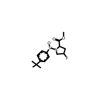 COC(=O)C1CC(F)CN1[S+]([O-])c1ccc(C(C)(C)C)cc1